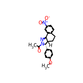 COc1ccc([C@H]2[C@H]3CCc4ccc([N+](=O)[O-])cc4C3=NN2C(C)=O)cc1